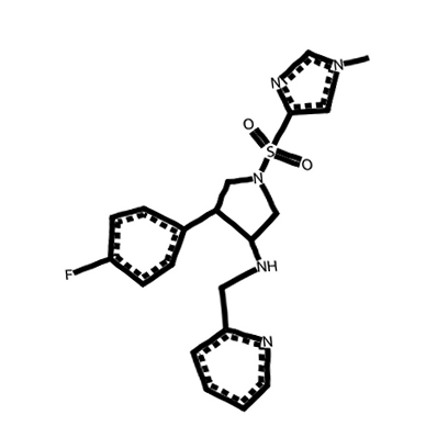 Cn1cnc(S(=O)(=O)N2CC(NCc3ccccn3)C(c3ccc(F)cc3)C2)c1